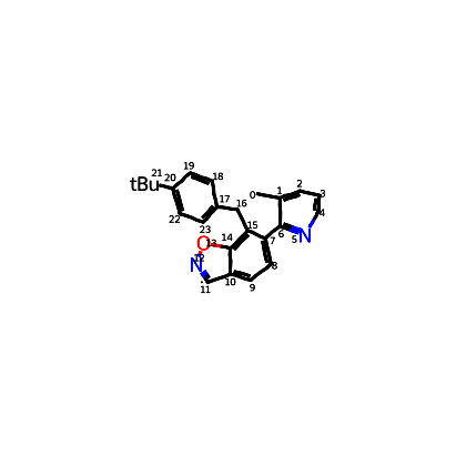 Cc1cccnc1-c1ccc2[c]noc2c1Cc1ccc(C(C)(C)C)cc1